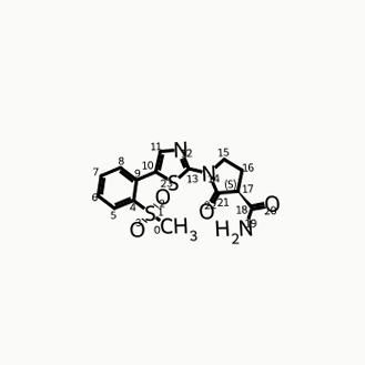 CS(=O)(=O)c1ccccc1-c1cnc(N2CC[C@@H](C(N)=O)C2=O)s1